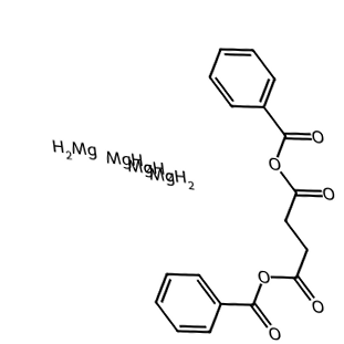 O=C(CCC(=O)OC(=O)c1ccccc1)OC(=O)c1ccccc1.[MgH2].[MgH2].[MgH2].[MgH2]